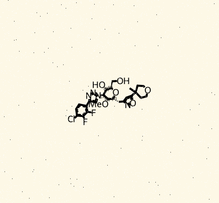 CO[C@@H]1[C@@H](n2cc(-c3ccc(Cl)c(F)c3F)nn2)[C@@H](O)[C@@H](CO)O[C@@H]1Cc1cc(C2(C)CCOCC2)on1